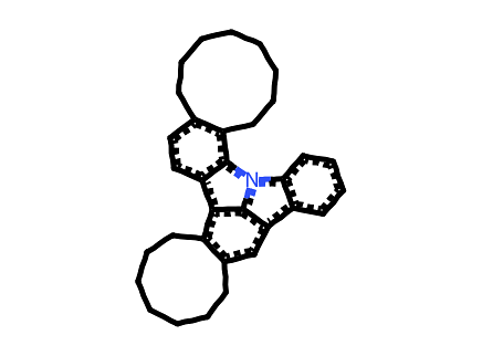 c1ccc2c(c1)c1cc3c(c4c5ccc6c(c5n2c14)CCCCCCCC6)CCCCCCC3